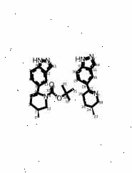 C[C@H]1CC=C(c2ccc3[nH]ncc3c2)N(C(=O)OC(C)(C)C)C1.C[C@H]1CCC(c2ccc3[nH]ncc3c2)=NC1